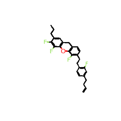 C=CCCc1ccc(CCc2ccc3c(c2F)Oc2c(cc(CCC)c(F)c2F)C3)c(F)c1